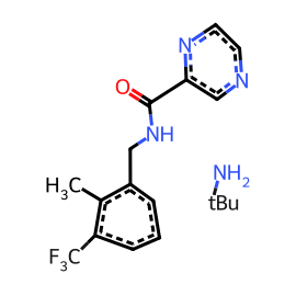 CC(C)(C)N.Cc1c(CNC(=O)c2cnccn2)cccc1C(F)(F)F